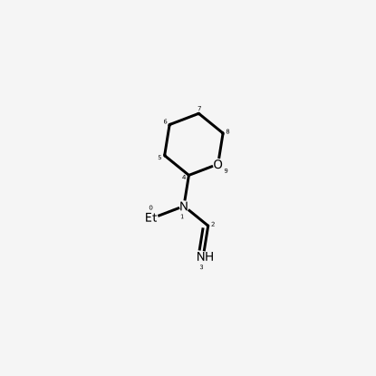 CCN(C=N)C1CCCCO1